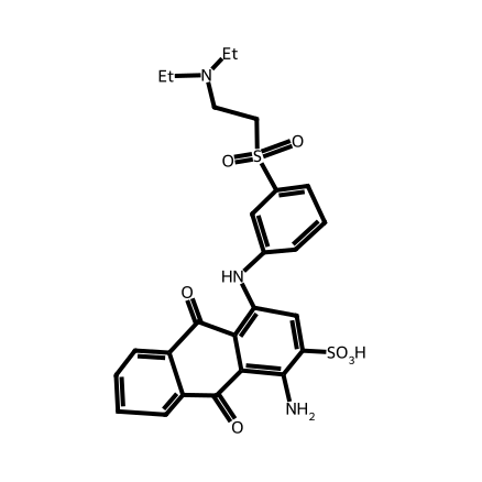 CCN(CC)CCS(=O)(=O)c1cccc(Nc2cc(S(=O)(=O)O)c(N)c3c2C(=O)c2ccccc2C3=O)c1